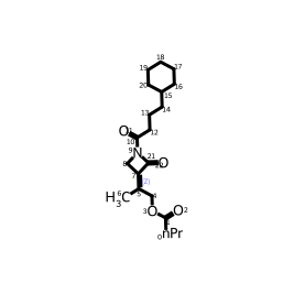 CCCC(=O)OC/C(C)=C1/CN(C(=O)CCCC2CCCCC2)C1=O